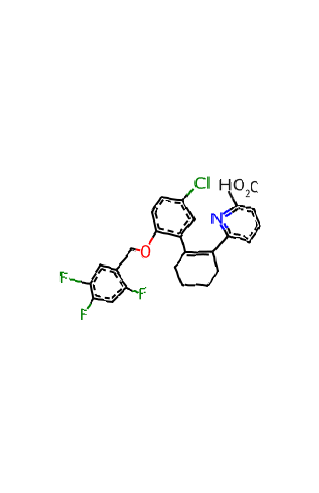 O=C(O)c1cccc(C2=C(c3cc(Cl)ccc3OCc3cc(F)c(F)cc3F)CCCC2)n1